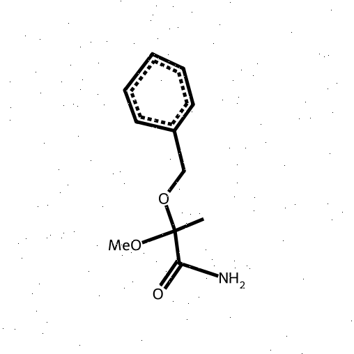 COC(C)(OCc1ccccc1)C(N)=O